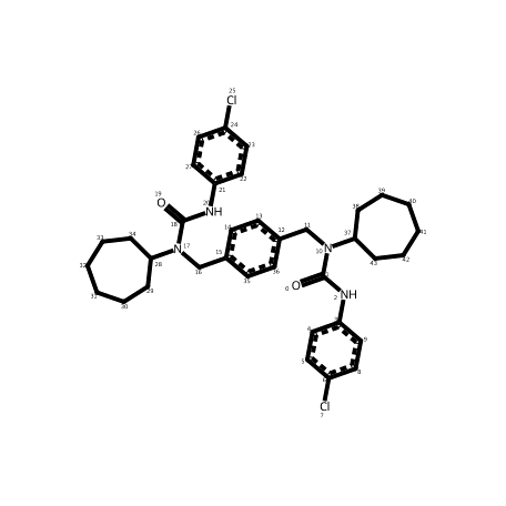 O=C(Nc1ccc(Cl)cc1)N(Cc1ccc(CN(C(=O)Nc2ccc(Cl)cc2)C2CCCCCC2)cc1)C1CCCCCC1